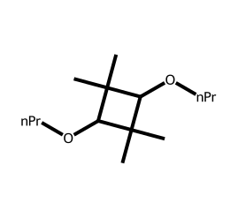 CCCOC1C(C)(C)C(OCCC)C1(C)C